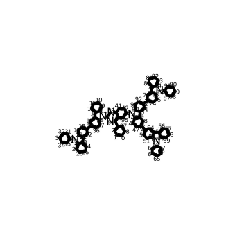 c1ccc(-c2nc(-n3c4ccccc4c4cc(-c5ccc6c(c5)c5ccccc5n6-c5ccccc5)ccc43)nc3ccc(-n4c5ccc(-c6ccc7c(c6)c6ccccc6n7-c6ccccc6)cc5c5cc(-c6ccc7c(c6)c6ccccc6n7-c6ccccc6)ccc54)cc23)cc1